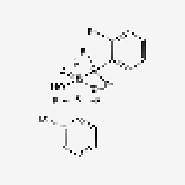 CCc1ccccc1[Si](CC)(CC)[Cr](=[O])(=[O])([OH])([OH])[Si](CC)(CC)c1ccccc1CC